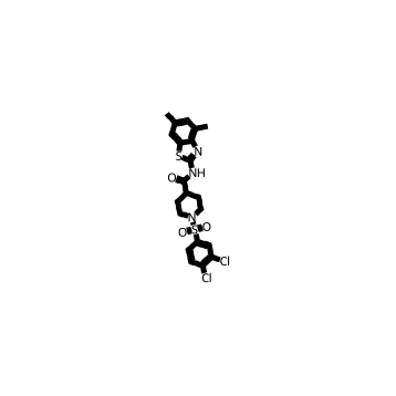 Cc1cc(C)c2nc(NC(=O)C3CCN(S(=O)(=O)c4ccc(Cl)c(Cl)c4)CC3)sc2c1